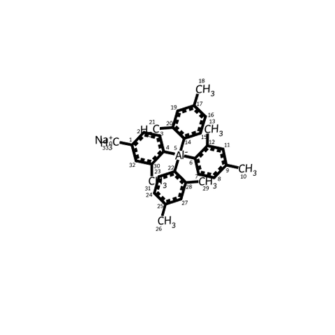 Cc1cc[c]([Al-]([c]2ccc(C)cc2C)([c]2ccc(C)cc2C)[c]2ccc(C)cc2C)c(C)c1.[Na+]